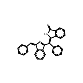 O=C1N/C(=C(C2=N/C(=C/c3ccccc3)c3ccccc32)/c2ccccc2)c2ccccc21